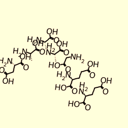 C[C@H](N)C(=O)O.C[C@H](N)C(=O)O.C[C@H](N)C(=O)O.NCC(=O)O.N[C@@H](CC(=O)O)C(=O)O.N[C@@H](CCC(=O)O)C(=O)O.N[C@@H](CCC(=O)O)C(=O)O